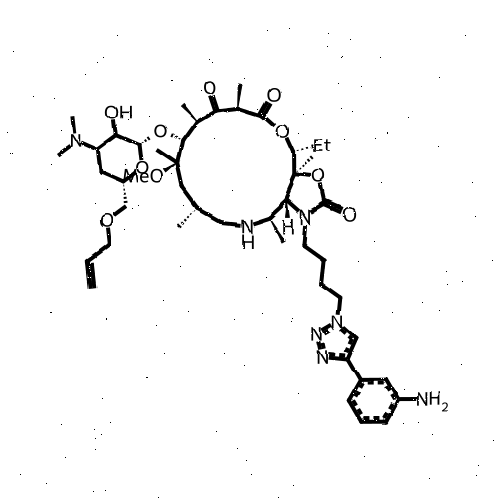 C=CCOC[C@@H]1CC(N(C)C)C(O)[C@H](O[C@@H]2[C@@H](C)C(=O)[C@@H](C)C(=O)O[C@H](CC)[C@@]3(C)OC(=O)N(CCCCn4cc(-c5cccc(N)c5)nn4)[C@@H]3[C@@H](C)NC[C@H](C)C[C@@]2(C)OC)O1